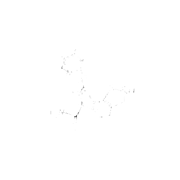 NC(=O)c1sc(Oc2ccccn2)c2c1CCC1=C2SNC1